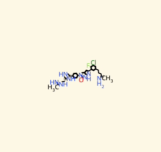 CC(=N)NCC[C@@H]1CNC[C@@H](c2ccc(-n3cc4cc(-c5cc(CCC[C@H](C)N)cc(Cl)c5F)[nH]c4nc3=O)cc2)N1